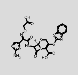 Nc1nc(/C(=N/OCC(=O)O)C(=O)NC2C(=O)N3C(C(=O)O)=C(Sc4nc5ccccc5s4)CS[C@H]23)cs1